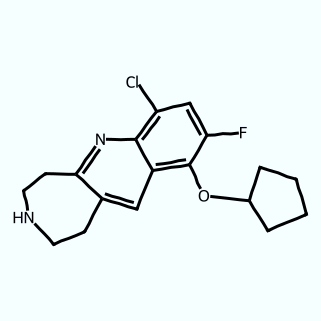 Fc1cc(Cl)c2nc3c(cc2c1OC1CCCC1)CCNCC3